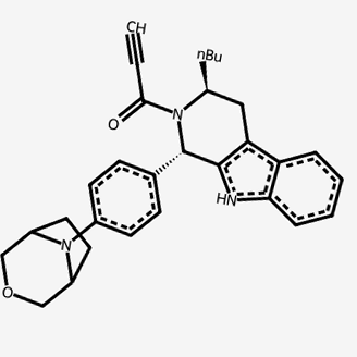 C#CC(=O)N1[C@@H](CCCC)Cc2c([nH]c3ccccc23)[C@@H]1c1ccc(N2C3CCC2COC3)cc1